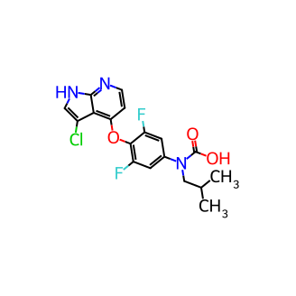 CC(C)CN(C(=O)O)c1cc(F)c(Oc2ccnc3[nH]cc(Cl)c23)c(F)c1